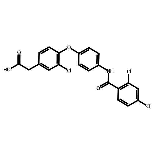 O=C(O)Cc1ccc(Oc2ccc(NC(=O)c3ccc(Cl)cc3Cl)cc2)c(Cl)c1